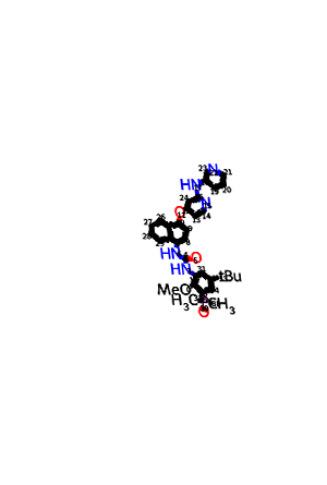 COc1c(NC(=O)Nc2ccc(Oc3ccnc(Nc4cccnc4)c3)c3ccccc23)cc(C(C)(C)C)cc1P(C)(C)=O